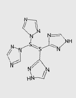 c1ncn(S(n2cncn2)=S(c2nc[nH]n2)c2nc[nH]n2)n1